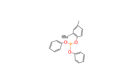 Cc1ccc(OP(Oc2ccccc2)Oc2ccccc2)c(C(C)(C)C)c1